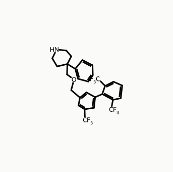 FC(F)(F)c1cc(COCC2(c3ccccc3)CCNCC2)cc(-c2c(C(F)(F)F)cccc2C(F)(F)F)c1